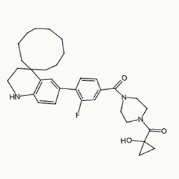 O=C(c1ccc(-c2ccc3c(c2)C2(CCCCCCCCC2)CCN3)c(F)c1)N1CCN(C(=O)C2(O)CC2)CC1